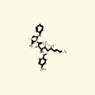 C=CC=C[C@H](C)[C@H](OCc1ccc(OC)cc1)[C@@H](C)[C@H](O)[C@@H](C)C(=O)N1C(=O)OC[C@H]1Cc1ccccc1